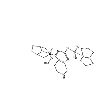 [2H]C([2H])(Oc1nc2c(c(N3CC4CCC(C3)N4C(=O)OC(C)(C)C)n1)CCNC2)C12CCCN1CCC2